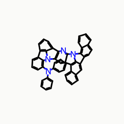 c1ccc(N(c2ccccc2)c2cccc3c4cccc5c6nc7c(cc6n(c23)c45)c2c3ccccc3cc3c4ccc5ccccc5c4n7c32)cc1